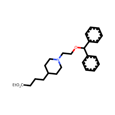 CCOC(=O)CCCC1CCN(CCOC(c2ccccc2)c2ccccc2)CC1